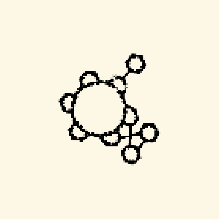 c1ccc(-c2nc3nc(n2)c2ccc4c(c2)c2cc(ccc2C42c4ccccc4-c4ccccc42)c2cccc(c2)c2cccc(c2)c2cccc3c2)cc1